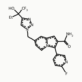 CCC(O)(c1cn(Cc2ccn3c(-c4ccc(F)nc4)c(C(N)=O)cc3c2)nn1)C(F)(F)F